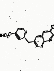 O=C(O)c1ccnc(Cc2cnc3ncc(Cl)cc3c2)c1